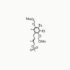 CCc1c(CC)c(OCOC)c(C/C=C(\C)COS(C)(=O)=O)c(C)c1OCOC